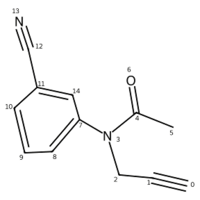 C#CCN(C(C)=O)c1cccc(C#N)c1